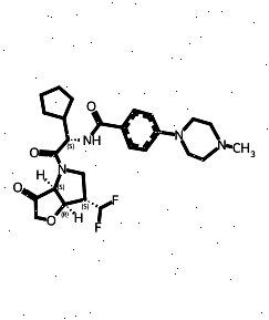 CN1CCN(c2ccc(C(=O)N[C@H](C(=O)N3C[C@H](C(F)F)[C@H]4OCC(=O)[C@H]43)C3CCCC3)cc2)CC1